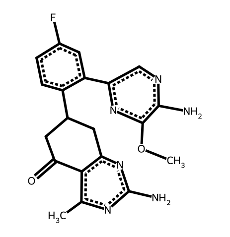 COc1nc(-c2cc(F)ccc2C2CC(=O)c3c(C)nc(N)nc3C2)cnc1N